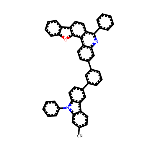 N#Cc1ccc2c3cc(-c4cccc(-c5ccc6c(c5)nc(-c5ccccc5)c5ccc7c8ccccc8oc7c56)c4)ccc3n(-c3ccccc3)c2c1